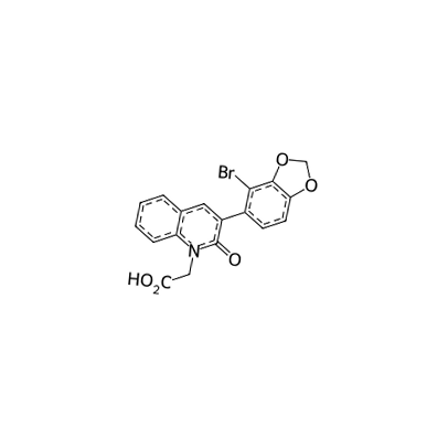 O=C(O)Cn1c(=O)c(-c2ccc3c(c2Br)OCO3)cc2ccccc21